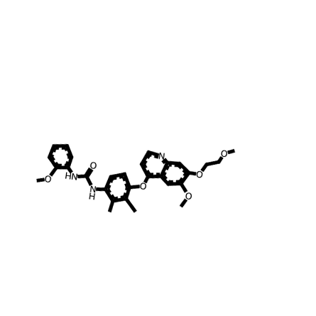 COCCOc1cc2nccc(Oc3ccc(NC(=O)Nc4ccccc4OC)c(C)c3C)c2cc1OC